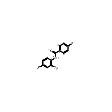 CC(=O)c1cc(F)ccc1NC(=O)c1ccc(F)cc1